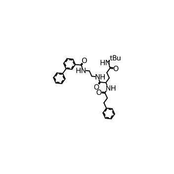 CC(C)(C)NC(=O)CCC(NC(=O)CCc1ccccc1)C(=O)NCCNC(=O)c1cccc(-c2ccccc2)c1